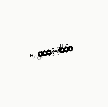 CC1(C)CC2C=CC1c1cc3cc4c(cc3cc12)S/C(=C1/Sc2cc3cc5c(cc3cc2S1)C1C=CC5CC1(C)C)S4